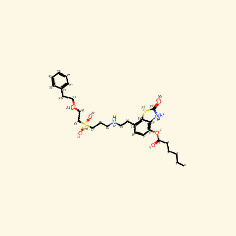 CCCCCC(=O)Oc1ccc(CCNCCCS(=O)(=O)CCOCCc2ccccc2)c2sc(=O)[nH]c12